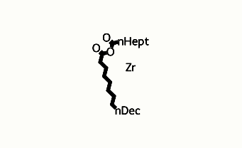 CCCCCCCCCCCCCCCCCC(=O)OC(=O)CCCCCCC.[Zr]